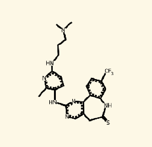 Cc1nc(NCCCN(C)C)ccc1Nc1ncc2c(n1)-c1ccc(C(F)(F)F)cc1NC(=S)C2